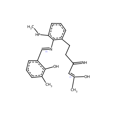 CPc1cccc(CCC(=N)/C=C(/C)O)c1/N=C/c1cccc(C)c1O